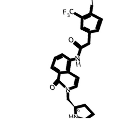 O=C(Cc1ccc(I)c(C(F)(F)F)c1)Nc1cccc2c(=O)n(C[C@H]3CCCN3)ccc12